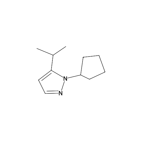 CC(C)c1ccnn1C1CCCC1